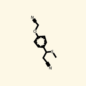 CSC(CC#N)c1ccc(OCC#N)cc1